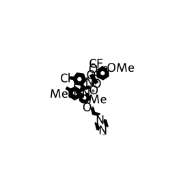 CNC(=O)[C@@H]1C[C@@H](OCCCN2CCN(C)CC2)C[N+]1(C)C1(c2cc(C)ccc2OC)C(=O)N(S(=O)(=O)c2ccc(OC)cc2OC(F)(F)F)c2ccc(Cl)cc21